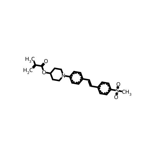 C=C(C)C(=O)OC1CCN(c2ccc(C=Cc3ccc(S(C)(=O)=O)cc3)cc2)CC1